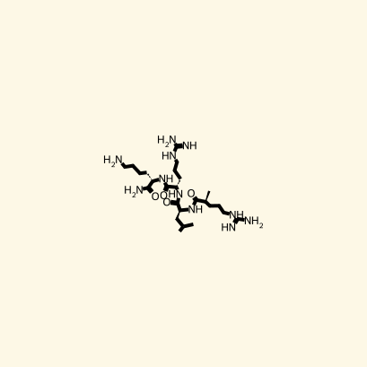 CC(C)C[C@H](NC(=O)[C@@H](C)CCCNC(=N)N)C(=O)N[C@@H](CCCNC(=N)N)C(=O)N[C@@H](CCCCN)C(N)=O